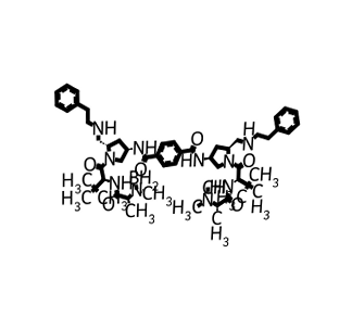 BN(C)[C@@H](C)C(=O)N[C@H](C(=O)N1C[C@@H](NC(=O)c2ccc(C(=O)N[C@H]3C[C@@H](CNCCc4ccccc4)N(C(=O)[C@@H](NC(=O)[C@H](C)N(C)C)C(C)(C)C)C3)cc2)C[C@H]1CNCCc1ccccc1)C(C)(C)C